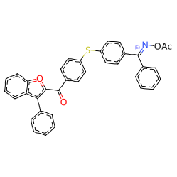 CC(=O)O/N=C(\c1ccccc1)c1ccc(Sc2ccc(C(=O)c3oc4ccccc4c3-c3ccccc3)cc2)cc1